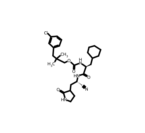 CC(C)(COC(=O)N[C@@H](CC1CCCCC1)C(=O)N[C@H](C#N)CC1CCNC1=O)Cc1cccc(Cl)c1